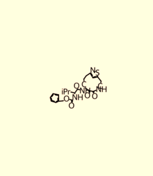 CC(C)C(NC(=O)OCc1ccccc1)C(=O)NC1CCCc2cc(sn2)CCNC(=O)C1=O